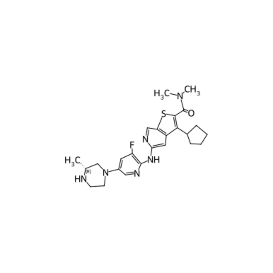 C[C@@H]1CN(c2cnc(Nc3cc4c(C5CCCC5)c(C(=O)N(C)C)sc4cn3)c(F)c2)CCN1